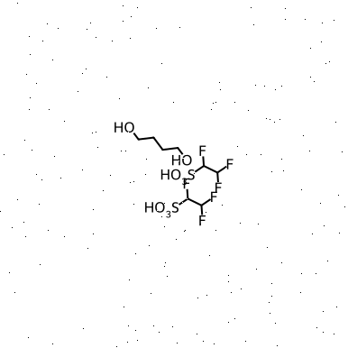 O=S(=O)(O)C(F)C(F)F.O=S(=O)(O)C(F)C(F)F.OCCCCO